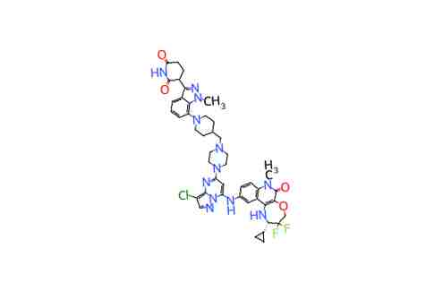 Cn1nc(C2CCC(=O)NC2=O)c2cccc(N3CCC(CN4CCN(c5cc(Nc6ccc7c(c6)c6c(c(=O)n7C)OCC(F)(F)[C@H](C7CC7)N6)n6ncc(Cl)c6n5)CC4)CC3)c21